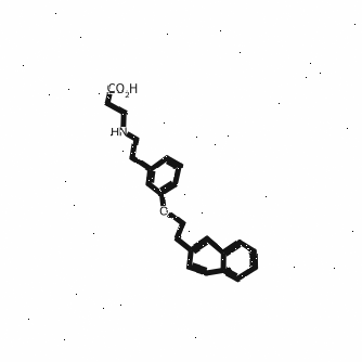 O=C(O)CCNCCc1cccc(OCCc2ccc3ccccc3c2)c1